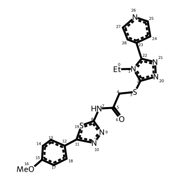 CCn1c(SCC(=O)Nc2nnc(-c3ccc(OC)cc3)s2)nnc1-c1ccncc1